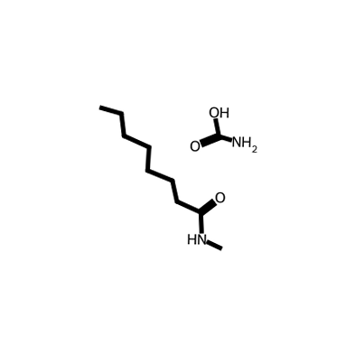 CCCCCCCC(=O)NC.NC(=O)O